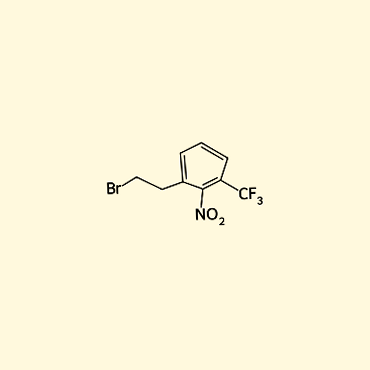 O=[N+]([O-])c1c(CCBr)cccc1C(F)(F)F